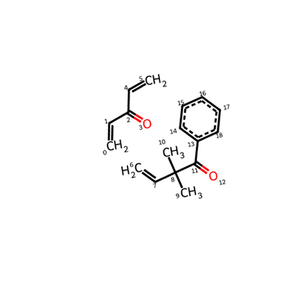 C=CC(=O)C=C.C=CC(C)(C)C(=O)c1ccccc1